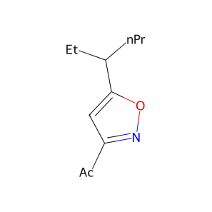 CCCC(CC)c1cc(C(C)=O)no1